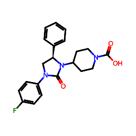 O=C(O)N1CCC(N2C(=O)N(c3ccc(F)cc3)C[C@H]2c2ccccc2)CC1